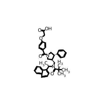 C[C@H](c1cccc2ccccc12)N(C[C@H]1CN(C(=O)c2ccc(OCC(=O)O)cc2)C[C@@H]1c1ccccc1)C(=O)C(C)(C)C